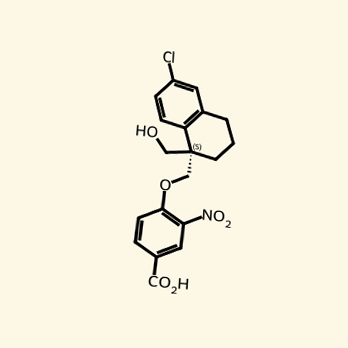 O=C(O)c1ccc(OC[C@@]2(CO)CCCc3cc(Cl)ccc32)c([N+](=O)[O-])c1